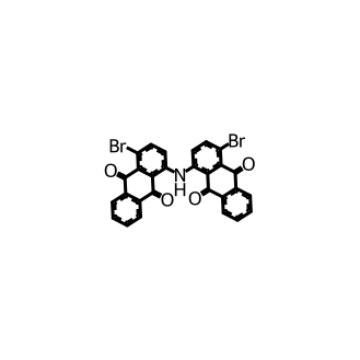 O=C1c2ccccc2C(=O)c2c(Nc3ccc(Br)c4c3C(=O)c3ccccc3C4=O)ccc(Br)c21